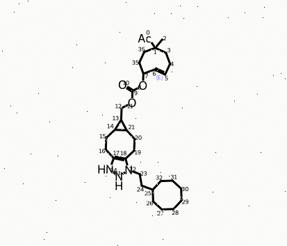 CC(=O)C1(C)CC/C=C/C(OC(=O)OCC2C3CCC4=C(CCC32)N(CCC2CCCCCCC2)NN4)CC1